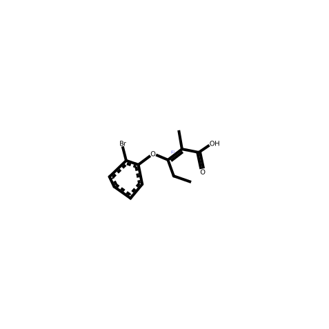 CC/C(Oc1ccccc1Br)=C(/C)C(=O)O